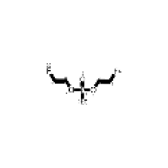 CCP(=O)(OC=CF)OC=CF